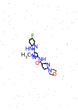 Cn1nc(NC(=O)c2ccc(N3CCOCC3)nc2)cc1-c1nc2cc(F)ccc2[nH]1